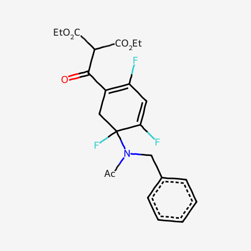 CCOC(=O)C(C(=O)OCC)C(=O)C1=C(F)C=C(F)C(F)(N(Cc2ccccc2)C(C)=O)C1